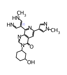 CN/C=C(\C=N)c1nc(-c2cnn(C)c2)cc2c(=O)n(C3CCCC(O)C3)cnc12